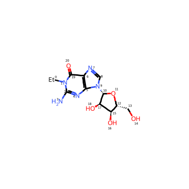 CCn1c(N)nc2c(ncn2[C@@H]2O[C@H](CO)[C@@H](O)[C@H]2O)c1=O